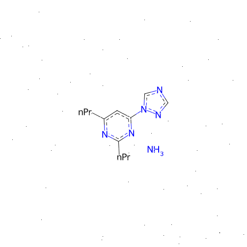 CCCc1cc(-n2cncn2)nc(CCC)n1.N